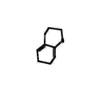 C1=C2CCCSC2=CCC1